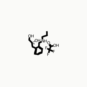 CCCNCc1ccccc1C[C@@H](O)CO.O=C(O)C(F)(F)F